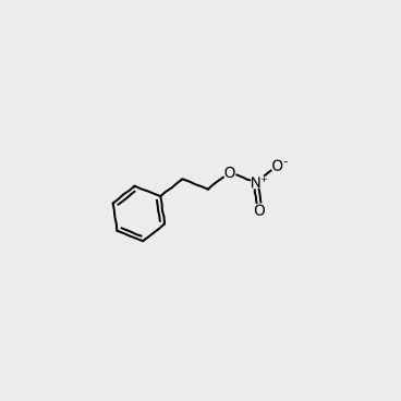 O=[N+]([O-])OCCc1ccccc1